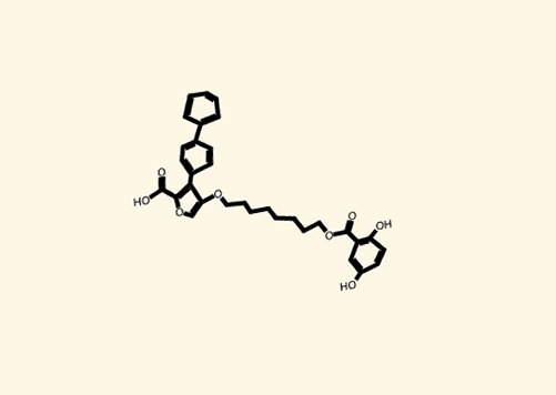 O=C(OCCCCCCCCOc1coc(C(=O)O)c1-c1ccc(-c2ccccc2)cc1)c1cc(O)ccc1O